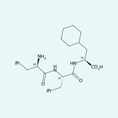 CC(C)C[C@@H](N)C(=O)N[C@@H](CC(C)C)C(=O)N[C@@H](CC1CCCCC1)C(=O)O